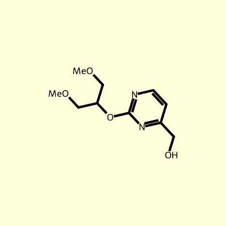 COCC(COC)Oc1nccc(CO)n1